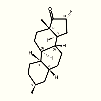 C[C@H]1CC[C@H]2[C@H](CC[C@@H]3[C@@H]2CC[C@]2(C)C(=O)[C@H](F)C[C@@H]32)C1